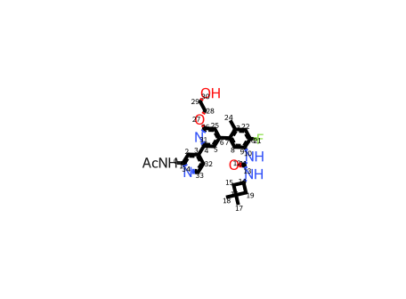 CC(=O)Nc1cc(-c2cc(-c3cc(NC(=O)NC4CC(C)(C)C4)c(F)cc3C)cc(OCCO)n2)ccn1